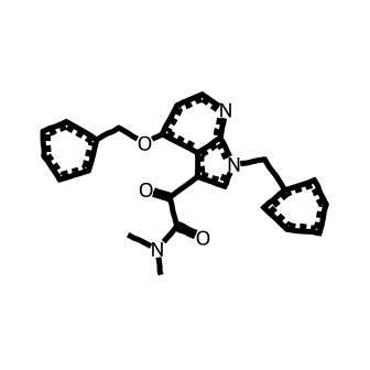 CN(C)C(=O)C(=O)c1cn(Cc2ccccc2)c2nccc(OCc3ccccc3)c12